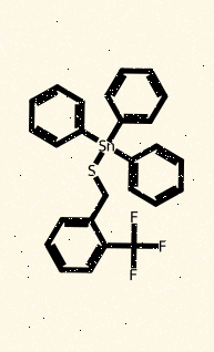 FC(F)(F)c1ccccc1C[S][Sn]([c]1ccccc1)([c]1ccccc1)[c]1ccccc1